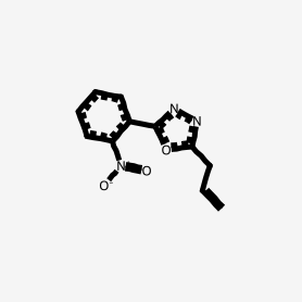 C=CCc1nnc(-c2ccccc2[N+](=O)[O-])o1